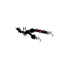 C=C/N=C\N(C)CCCNC(=O)c1ccc(N2CCN(CCOCCOCCOCCN)CC2)c(C#Cc2ccc(P)cc2)c1